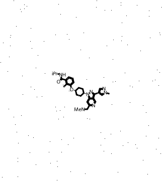 CNCc1cc2c(cn1)c(-c1cnn(C)c1)nn2[C@H]1CC[C@@H](Oc2cccc(C(=O)NC(C)C)c2C)CC1